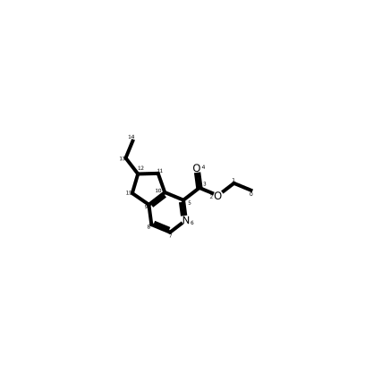 CCOC(=O)c1nccc2c1CC(CC)C2